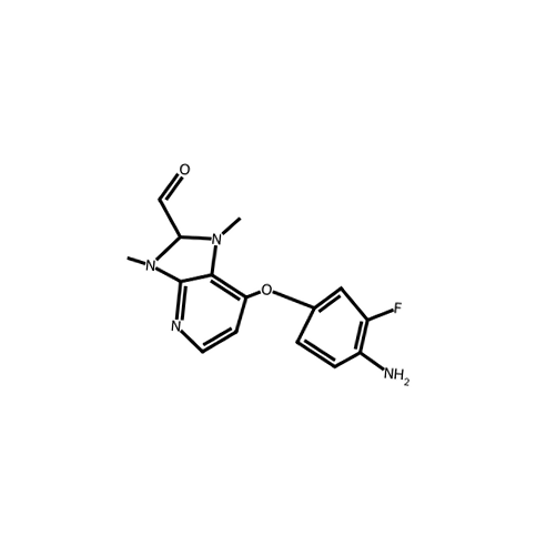 CN1c2nccc(Oc3ccc(N)c(F)c3)c2N(C)C1C=O